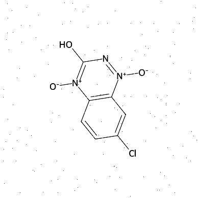 [O-][n+]1nc(O)[n+]([O-])c2ccc(Cl)cc21